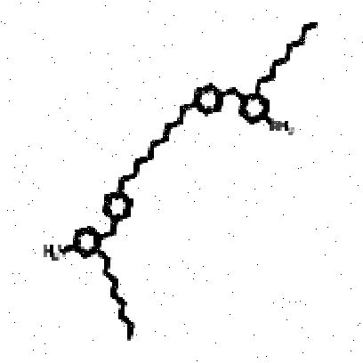 CCCCCCCCc1cc(N)ccc1Cc1ccc(CCCCCCCCCc2ccc(Cc3ccc(N)cc3CCCCCCCC)cc2)cc1